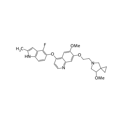 COc1cc2c(Oc3ccc4[nH]c(C)cc4c3F)ccnc2cc1OCCN1CC(OC)C2(CC2)C1